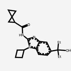 CCC(O)(CC)c1ccc2c(c1)nc(NC(=O)C1CC13CC3)n2C1CCC1